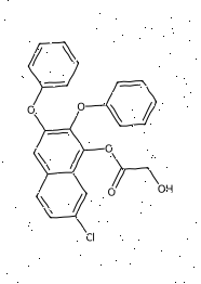 O=C(CO)Oc1c(Oc2ccccc2)c(Oc2ccccc2)cc2ccc(Cl)cc12